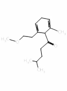 COCCC1=CCC=C(C)C1C(=O)CCC(C)C